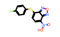 O=[N+](O)c1ccc(Sc2ccc(F)cc2)c2nonc12